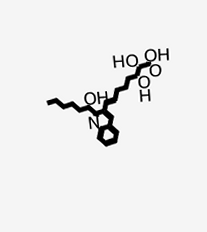 CCCCC[C@@H](O)c1nc2ccccc2cc1C=CCCCC(O)C(O)C(=O)O